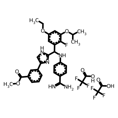 CCOc1cc(OC(C)C)c(F)c(C(Nc2ccc(C(=N)N)cc2)c2nc(-c3cccc(C(=O)OC)c3)c[nH]2)c1.O=C(O)C(F)(F)F.O=C(O)C(F)(F)F